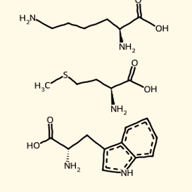 CSCC[C@H](N)C(=O)O.NCCCC[C@H](N)C(=O)O.N[C@@H](Cc1c[nH]c2ccccc12)C(=O)O